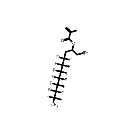 C=C(C)C(=O)OC(CC(C)C)CC(F)(F)C(F)(F)C(F)(F)C(F)(F)C(F)(F)C(F)(F)C(F)(F)C(F)(F)F